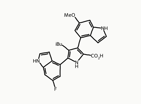 CCC(C)c1c(-c2cc(F)cc3[nH]ccc23)[nH]c(C(=O)O)c1-c1cc(OC)cc2[nH]ccc12